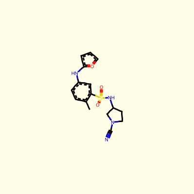 Cc1ccc(Nc2ccco2)cc1S(=O)(=O)NC1CCN(C#N)C1